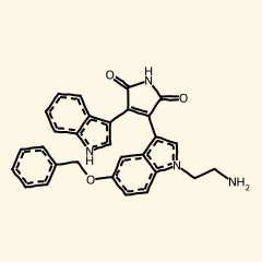 NCCn1cc(C2=C(c3c[nH]c4ccccc34)C(=O)NC2=O)c2cc(OCc3ccccc3)ccc21